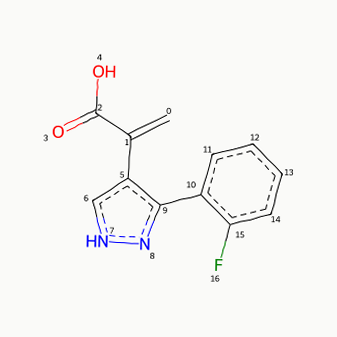 C=C(C(=O)O)c1c[nH]nc1-c1ccccc1F